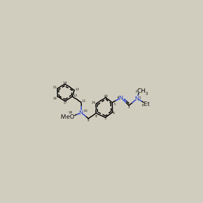 CCN(C)/C=N/c1ccc(CN(Cc2ccccc2)OC)cc1